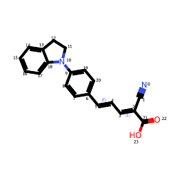 N#C/C(=C\C=C\c1ccc(N2CCc3ccccc32)cc1)C(=O)O